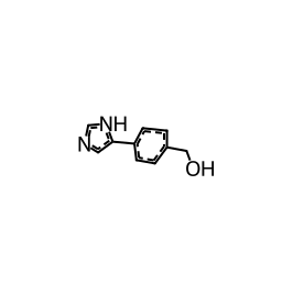 OCc1ccc(-c2cnc[nH]2)cc1